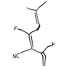 C=C(F)/C(C#N)=C(/F)C=C(C)C